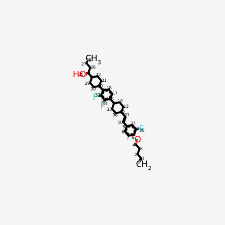 C=CCCCOc1ccc(/C=C/C2CCC(c3ccc(C4CCC(C(O)CCC)CC4)c(F)c3F)CC2)cc1F